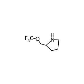 FC(F)(F)OCC1CCCN1